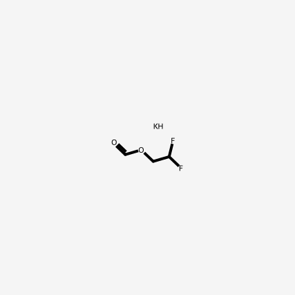 O=COCC(F)F.[KH]